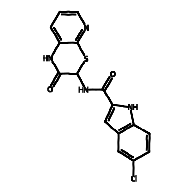 O=C(NC1Sc2ncccc2NC1=O)c1cc2cc(Cl)ccc2[nH]1